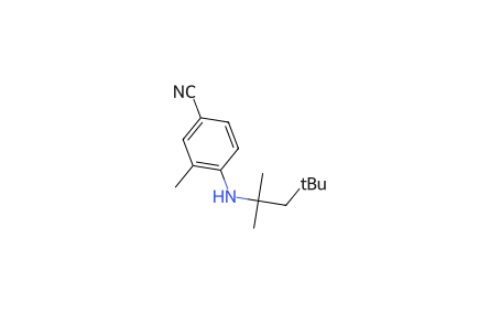 Cc1cc(C#N)ccc1NC(C)(C)CC(C)(C)C